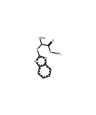 CCCCCCC(Sc1nc2ccccc2o1)C(=O)ON